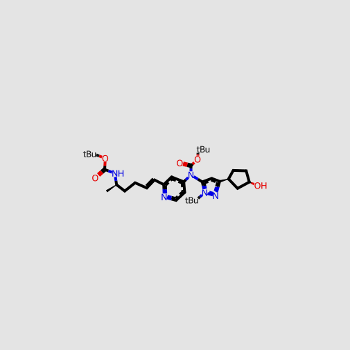 C[C@H](CC/C=C/c1cc(N(C(=O)OC(C)(C)C)c2cc([C@H]3CC[C@@H](O)C3)nn2C(C)(C)C)ccn1)NC(=O)OC(C)(C)C